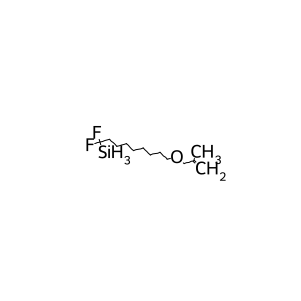 C=C(C)COCCCCCCCCC(F)(F)[SiH3]